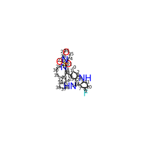 Cc1cc(Nc2ccc(F)cc2)c(C=N)cc1[C@@H]1CN(S(=O)(=O)N2CCOCC2)CCCCC1CC1CCCC1